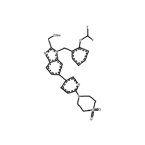 COCc1nc2ccc(-c3ccc(N4CCS(=O)(=O)CC4)nc3)cc2n1Cc1ccccc1OC(F)F